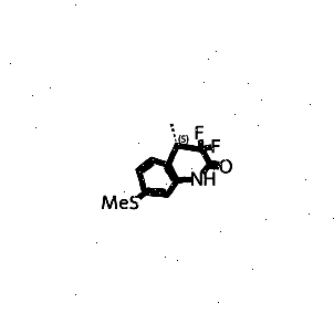 CSc1ccc2c(c1)NC(=O)C(F)(F)[C@H]2C